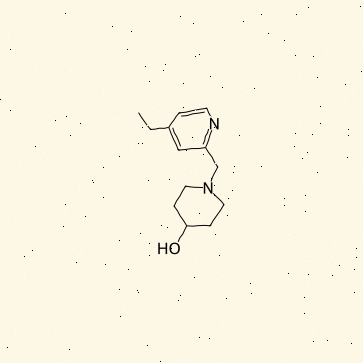 CCc1ccnc(CN2CCC(O)CC2)c1